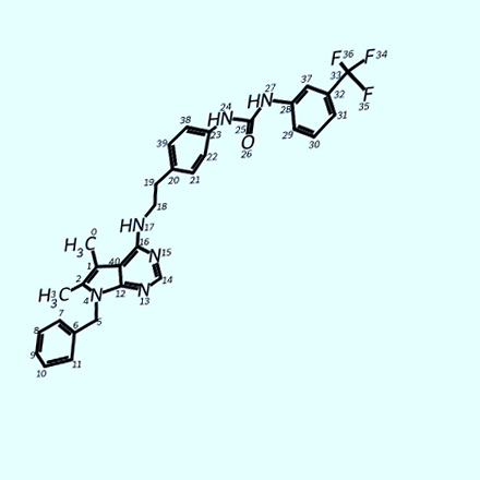 Cc1c(C)n(Cc2ccccc2)c2ncnc(NCCc3ccc(NC(=O)Nc4cccc(C(F)(F)F)c4)cc3)c12